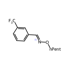 CCCCCO/N=[C]/c1cccc(C(F)(F)F)c1